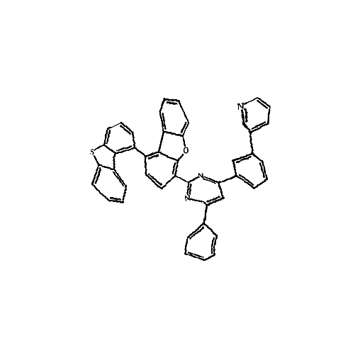 c1ccc(-c2cc(-c3cccc(-c4cccnc4)c3)nc(-c3ccc(-c4cccc5sc6ccccc6c45)c4c3oc3ccccc34)n2)cc1